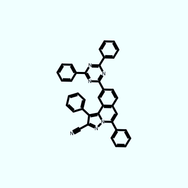 N#Cc1nn2c(-c3ccccc3)cc3ccc(-c4nc(-c5ccccc5)nc(-c5ccccc5)n4)cc3c2c1-c1ccccc1